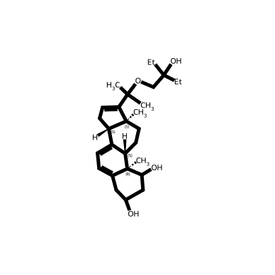 CCC(O)(CC)COC(C)(C)C1=CC[C@H]2C3=CC=C4CC(O)CC(O)[C@]4(C)[C@H]3CC[C@]12C